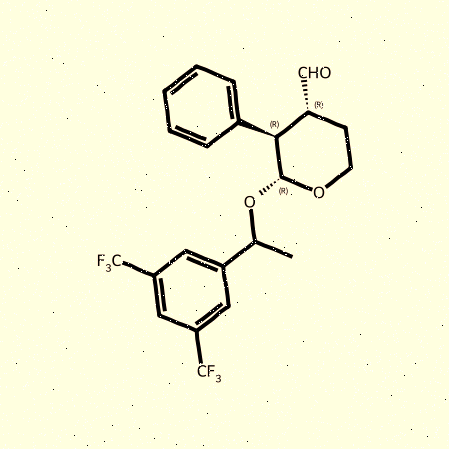 CC(O[C@H]1OCC[C@@H](C=O)[C@@H]1c1ccccc1)c1cc(C(F)(F)F)cc(C(F)(F)F)c1